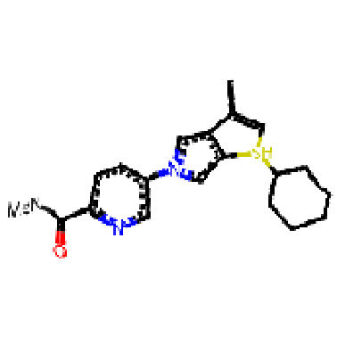 CNC(=O)c1ccc(-n2cc3c(c2)[SH](C2CCCCC2)C=C3C)cn1